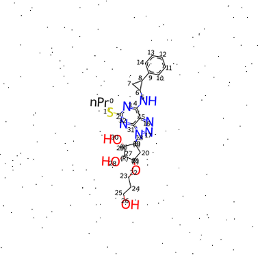 CCCSc1nc(NC2CC2c2ccccc2)c2nnn([C@H]3C[C@@H](OCCCO)[C@H](O)[C@@H]3O)c2n1